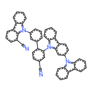 N#Cc1ccc(-c2cccc(-n3c4ccccc4c4cccc(C#N)c43)c2)c(-n2c3ccccc3c3ccc(-n4c5ccccc5c5ccccc54)cc32)c1